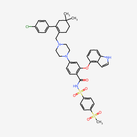 CC1(C)CCC(CN2CCN(c3ccc(C(=O)NS(=O)(=O)c4ccc(S(C)(=O)=O)cc4)c(Oc4cccc5[nH]ccc45)c3)CC2)=C(c2ccc(Cl)cc2)C1